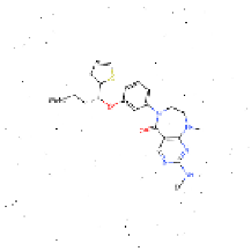 CCNc1ncc2c(n1)N(C)CCN(c1cccc(O[C@H](CCNC)C3CC=CS3)c1)C2=O